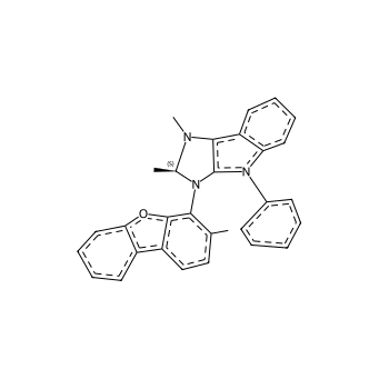 Cc1ccc2c(oc3ccccc32)c1N1c2c(c3ccccc3n2-c2ccccc2)N(C)[C@@H]1C